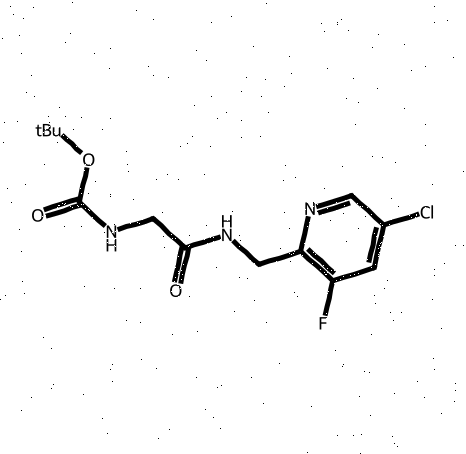 CC(C)(C)OC(=O)NCC(=O)NCc1ncc(Cl)cc1F